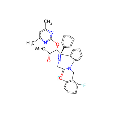 COC(=O)[C@@H](Oc1nc(C)cc(C)n1)[C@@]1(c2ccccc2)NCC(=O)N(Cc2c(F)cccc2F)c2ccccc21